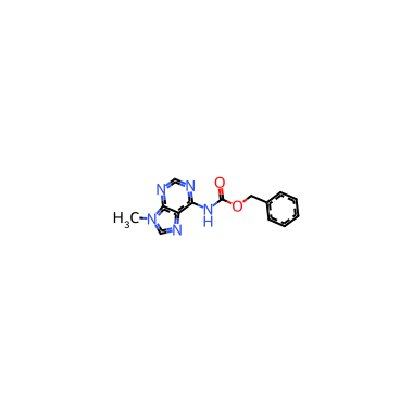 Cn1cnc2c(NC(=O)OCc3ccccc3)ncnc21